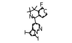 CC1(C)N=C(c2cnn3c(I)cc(I)c3c2)c2cccc(F)c2C1(C)C